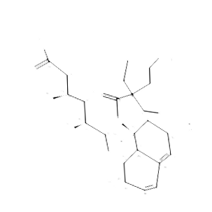 CCCC(CC)(CC)C(=O)O[C@H]1C[C@H](O)C=C2C=C[C@H](C)[C@H](CC[C@@H](O)C[C@@H](O)CC(=O)O)[C@H]21